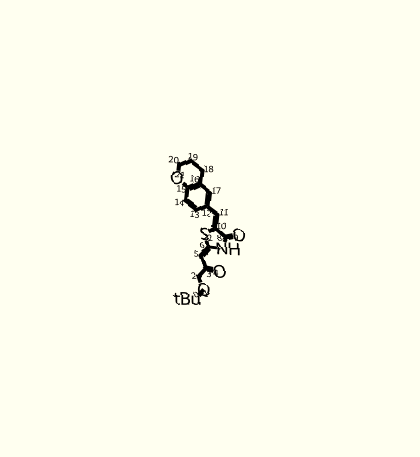 CC(C)(C)OCC(=O)/C=c1\[nH]c(=O)/c(=C/c2ccc3c(c2)CCCO3)s1